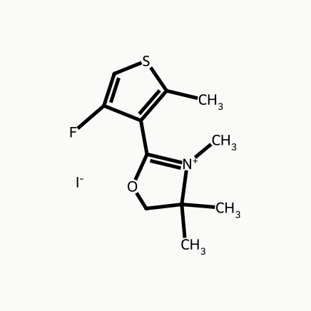 Cc1scc(F)c1C1=[N+](C)C(C)(C)CO1.[I-]